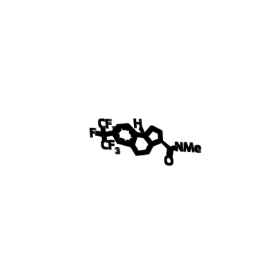 CNC(=O)[C@@H]1CC[C@H]2c3ccc(C(F)(C(F)(F)F)C(F)(F)F)cc3CCC12